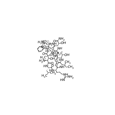 CC[C@H](C)[C@H](NC(=O)[C@@H](CCCNC(=N)N)NC(=O)[C@H](CC(C)C)NC(=O)[C@@H](N)[C@H](O)C(C)(C)C(=O)[C@H](CN)Nc1ccccc1N(C)C)C(=O)N[C@H](C(=O)NCC(=O)N[C@H](C(=O)N[C@@H](CO)C(=O)O)[C@H](O)C(N)=O)[C@H](C)O